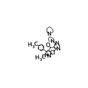 Cc1ccc(-c2c(C(=O)c3c(Cl)ncnc3N3CC[C@H](N4CCCCC4)C3)cnn2C)cc1